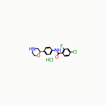 Cl.O=C(Nc1ccc([C@@H]2CNCCO2)cc1)c1ccc(Cl)cc1F